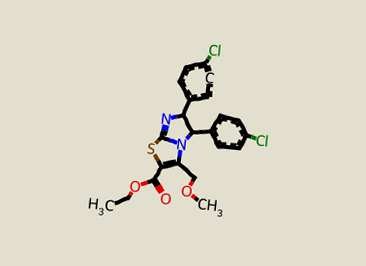 CCOC(=O)C1=C(COC)N2C(=NC(c3ccc(Cl)cc3)C2c2ccc(Cl)cc2)S1